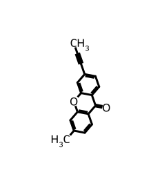 CC#Cc1ccc2c(=O)c3ccc(C)cc3oc2c1